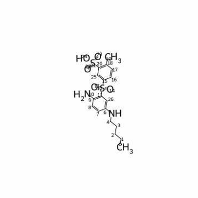 CCCCCNc1ccc(N)c(S(=O)(=O)c2ccc(C)c(S(=O)(=O)O)c2)c1